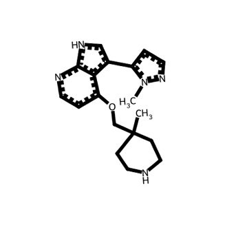 Cn1nccc1-c1c[nH]c2nccc(OCC3(C)CCNCC3)c12